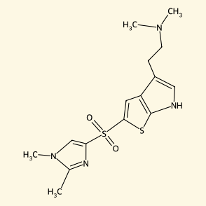 Cc1nc(S(=O)(=O)c2cc3c(CCN(C)C)c[nH]c3s2)cn1C